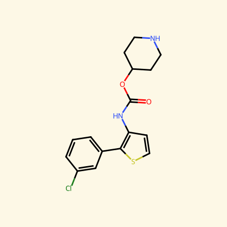 O=C(Nc1ccsc1-c1cccc(Cl)c1)OC1CCNCC1